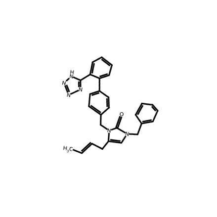 CC=CCc1cn(Cc2ccccc2)c(=O)n1Cc1ccc(-c2ccccc2-c2nnn[nH]2)cc1